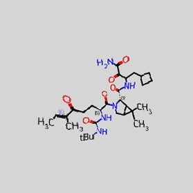 C/C=C(\C)C(=O)CC[C@H](NC(=O)NC(C)(C)C)C(=O)N1CC2C([C@H]1C(=O)NC(CC1CCC1)C(=O)C(N)=O)C2(C)C